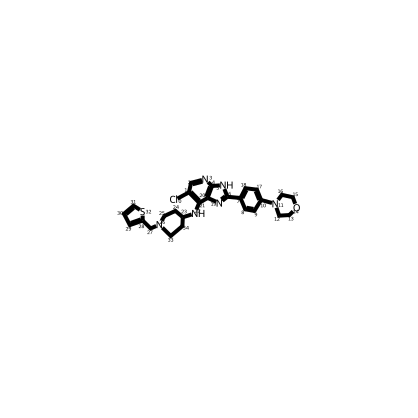 Clc1cnc2[nH]c(-c3ccc(N4CCOCC4)cc3)nc2c1NC1CCN(Cc2cccs2)CC1